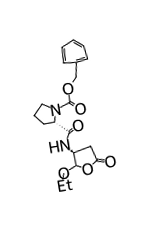 CCOC1OC(=O)C[C@@H]1NC(=O)[C@@H]1CCCN1C(=O)OCc1ccccc1